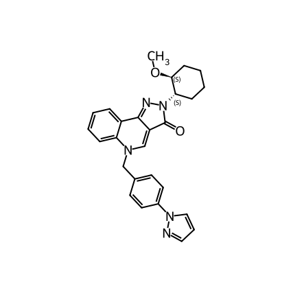 CO[C@H]1CCCC[C@@H]1n1nc2c3ccccc3n(Cc3ccc(-n4cccn4)cc3)cc-2c1=O